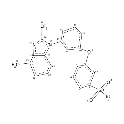 CCS(=O)(=O)c1cccc(Oc2cccc(-n3c(C(F)(F)F)nc4c(C(F)(F)F)cccc43)c2)c1